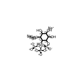 O=P([O-])([O-])OP(=O)([O-])OP(=O)([O-])OC1C(O)C(O)C(O)C(O)C1O.[Na+].[Na+].[Na+].[Na+]